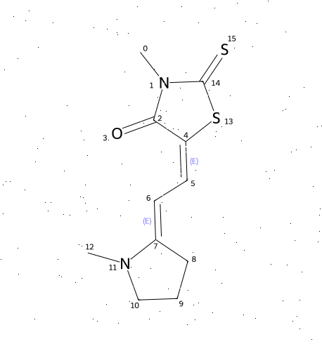 CN1C(=O)/C(=C\C=C2/CCCN2C)SC1=S